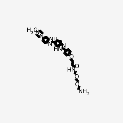 CN1CCN(c2ccc3nc(-c4ccc5nc(-c6ccc(OCCCC(=O)NCCOCCOCCN)cc6)[nH]c5c4)[nH]c3c2)CC1